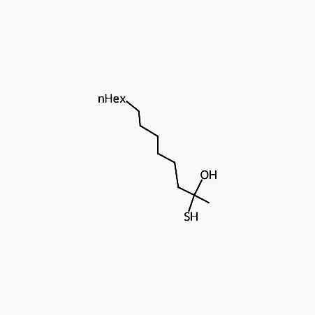 CCCCCCCCCCCCC(C)(O)S